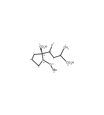 CC(CC(F)[C@@]1(C(=O)O)CCCN1OC(C)(C)C)C(=O)O